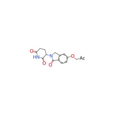 CC(=O)COc1ccc2c(c1)CN(C1CCC(=O)NC1=O)C2=O